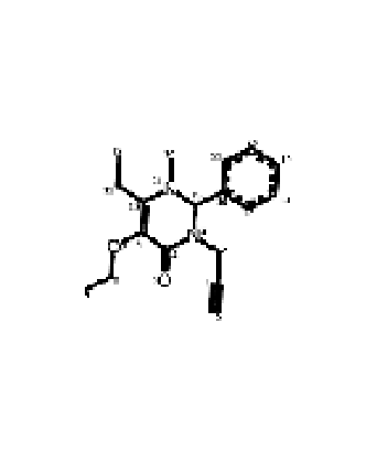 C#CCN1C(=O)C(OCC)=C(CC)N(C)C1c1ccccc1